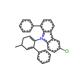 CC1C=C(c2ccccc2)C(n2c3ccc(Cl)cc3c3cccc(-c4ccccc4)c32)=CC1